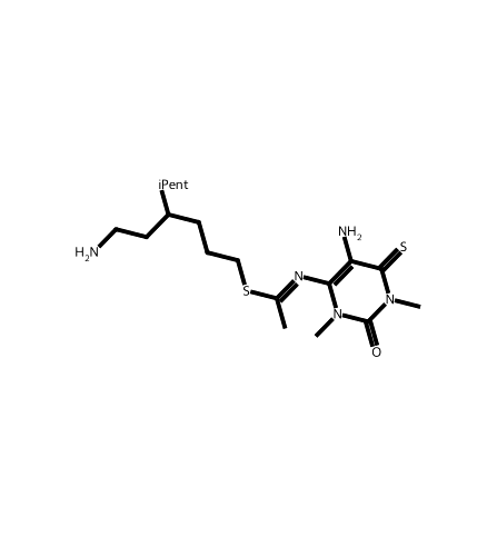 CCCC(C)C(CCN)CCCS/C(C)=N/c1c(N)c(=S)n(C)c(=O)n1C